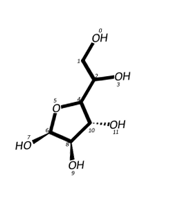 OCC(O)C1O[C@H](O)[C@H](O)[C@H]1O